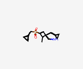 CC1C(S(=O)(=O)CC2CC2)CC1(CN)CC1CC1